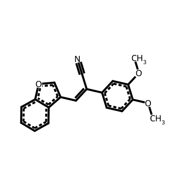 COc1ccc(/C(C#N)=C/c2coc3ccccc23)cc1OC